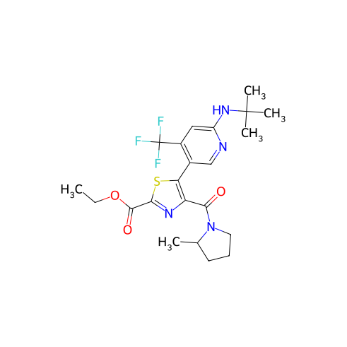 CCOC(=O)c1nc(C(=O)N2CCCC2C)c(-c2cnc(NC(C)(C)C)cc2C(F)(F)F)s1